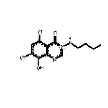 CCCCNn1cnc2c(O)c(Cl)cc(Cl)c2c1=O